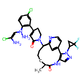 CC1CCCC(N2CCC(c3cc(Cl)ccc3N(N)/C=C(\N)Cl)=CC2=O)c2cc(ccn2)-c2c(cnn2C2CC2(F)F)NC1=O